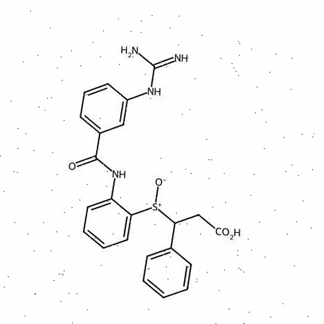 N=C(N)Nc1cccc(C(=O)Nc2ccccc2[S+]([O-])C(CC(=O)O)c2ccccc2)c1